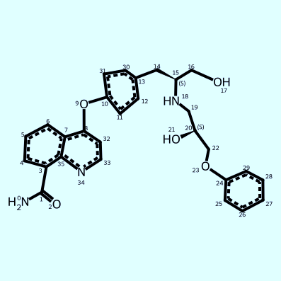 NC(=O)c1cccc2c(Oc3ccc(C[C@@H](CO)NC[C@H](O)COc4ccccc4)cc3)ccnc12